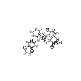 CC(C)(C)[N+]1(C[C@@H]2CCc3c4c(n[nH][n+]3=O)C=CC(=O)C42)CC[CH]CC1Cc1cc2c(cn1)OCCO2